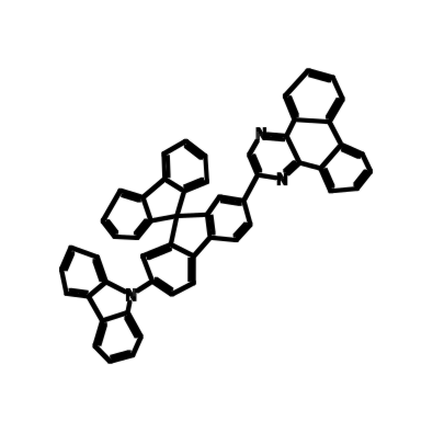 c1ccc2c(c1)-c1ccccc1C21c2cc(-c3cnc4c5ccccc5c5ccccc5c4n3)ccc2-c2ccc(-n3c4ccccc4c4ccccc43)cc21